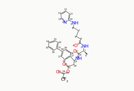 C[C@H](NC(=O)CCCCNc1ccccn1)C(=O)NC(CC(=O)OC(=O)C(F)(F)F)c1ccc(-c2ccccc2)cc1